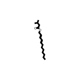 CCCCCCC/C=C/C=C/COC(=O)CC(C)C